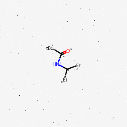 CCC(CC)NC(=O)C(C)(C)C